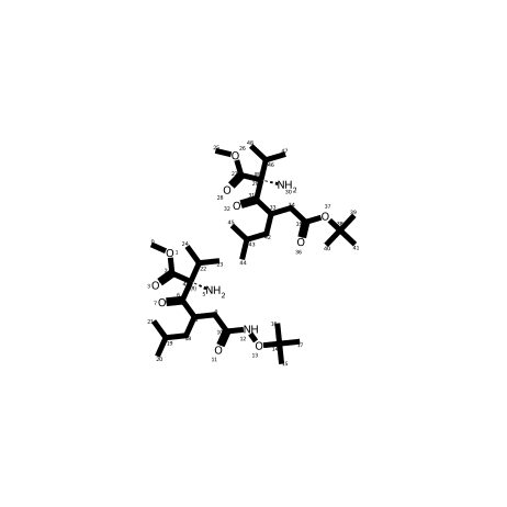 COC(=O)[C@](N)(C(=O)C(CC(=O)NOC(C)(C)C)CC(C)C)C(C)C.COC(=O)[C@](N)(C(=O)C(CC(=O)OC(C)(C)C)CC(C)C)C(C)C